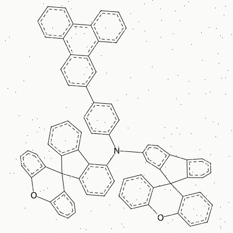 c1ccc2c(c1)Oc1ccccc1C21c2ccccc2-c2ccc(N(c3ccc(-c4ccc5c6ccccc6c6ccccc6c5c4)cc3)c3cccc4c3-c3ccccc3C43c4ccccc4Oc4ccccc43)cc21